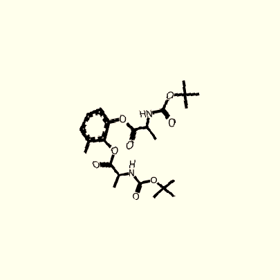 Cc1cccc(OC(=O)C(C)NC(=O)OC(C)(C)C)c1OC(=O)C(C)NC(=O)OC(C)(C)C